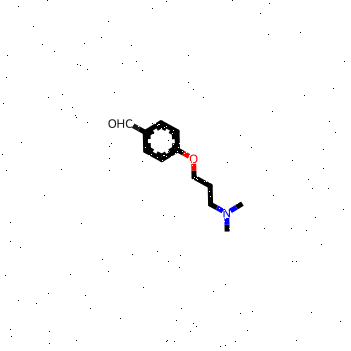 CN(C)CCCOc1ccc(C=O)cc1